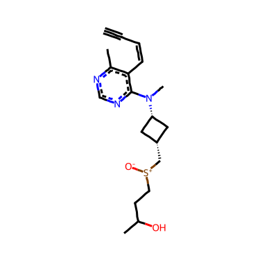 C#C/C=C\c1c(C)ncnc1N(C)[C@H]1C[C@@H](C[S+]([O-])CCC(C)O)C1